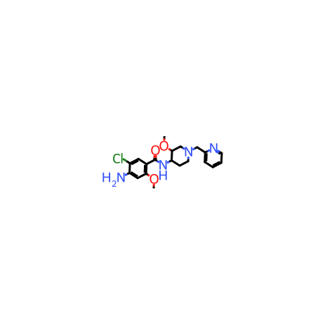 COc1cc(N)c(Cl)cc1C(=O)NC1CCN(Cc2ccccn2)CC1OC